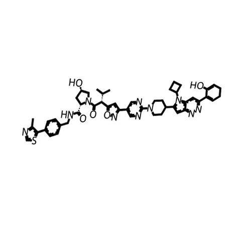 Cc1ncsc1-c1ccc(CNC(=O)[C@@H]2C[C@@H](O)CN2C(=O)[C@@H](c2cc(-c3cnc(N4CCC(c5cc6nnc(C7=CCCC=C7O)cc6n5C5CCC5)CC4)nc3)no2)C(C)C)cc1